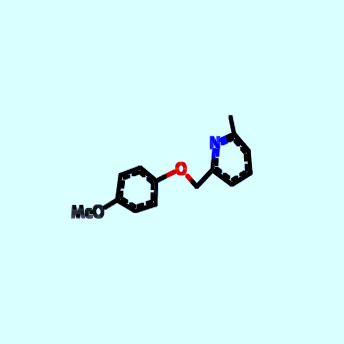 COc1ccc(OCc2cccc(C)n2)cc1